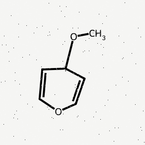 CO[C]1C=COC=C1